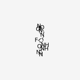 CN(C)S(=O)(=O)N1CCN(Cc2cc(F)cc(NC(=O)Nc3cncnc3)c2)CC1